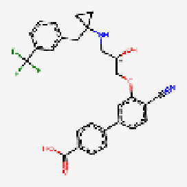 N#Cc1ccc(-c2ccc(C(=O)O)cc2)cc1OC[C@H](O)CNC1(Cc2cccc(C(F)(F)F)c2)CC1